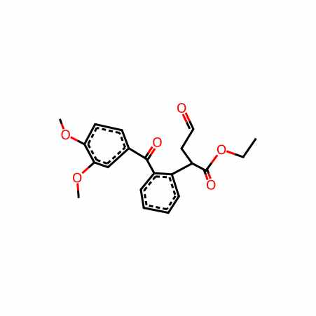 CCOC(=O)C(CC=O)c1ccccc1C(=O)c1ccc(OC)c(OC)c1